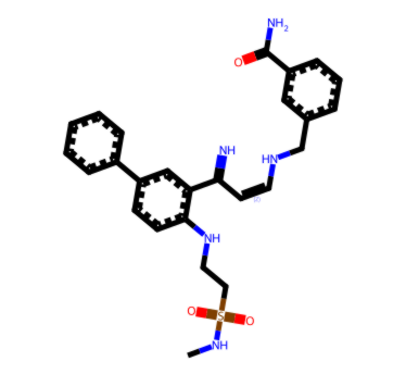 CNS(=O)(=O)CCNc1ccc(-c2ccccc2)cc1C(=N)/C=C\NCc1cccc(C(N)=O)c1